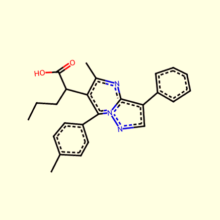 CCCC(C(=O)O)c1c(C)nc2c(-c3ccccc3)cnn2c1-c1ccc(C)cc1